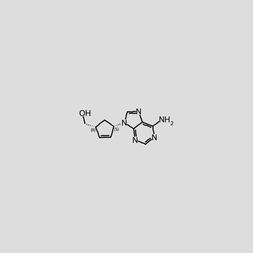 Nc1ncnc2c1ncn2[C@@H]1C=C[C@H](CO)C1